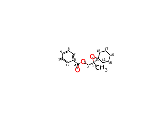 CC1(COC(=O)c2ccccc2)OC12CCCCC2